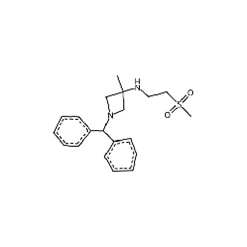 CC1(NCCS(C)(=O)=O)CN(C(c2ccccc2)c2ccccc2)C1